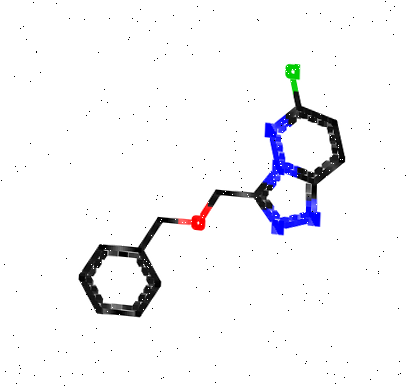 Clc1ccc2nnc(COCc3ccccc3)n2n1